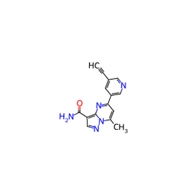 C#Cc1cncc(-c2cc(C)n3ncc(C(N)=O)c3n2)c1